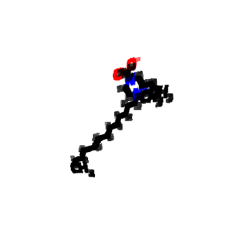 CCCCCCCCCCCCC[N+]1(C)CCN(C(=O)[O-])CC1CC